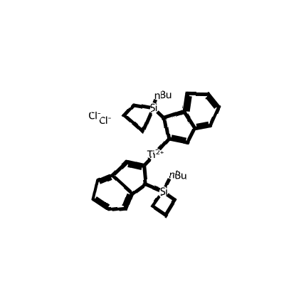 CCCC[Si]1(C2[C]([Ti+2][C]3=Cc4ccccc4C3[Si]3(CCCC)CCC3)=Cc3ccccc32)CCC1.[Cl-].[Cl-]